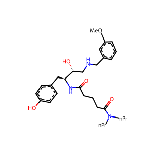 CCCN(CCC)C(=O)CCCC(=O)N[C@@H](Cc1ccc(O)cc1)[C@H](O)CNCc1cccc(OC)c1